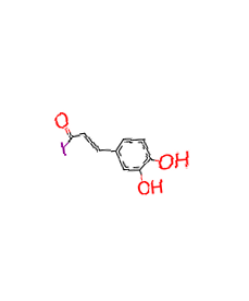 O=C(I)/C=C/c1ccc(O)c(O)c1